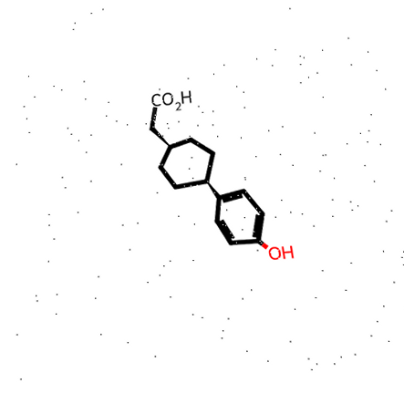 O=C(O)C[C@H]1CC[C@@H](c2ccc(O)cc2)CC1